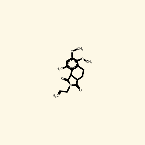 C=CCN1C(=O)C2CCc3c(OC)c(OC)cc(C)c3C2C1=O